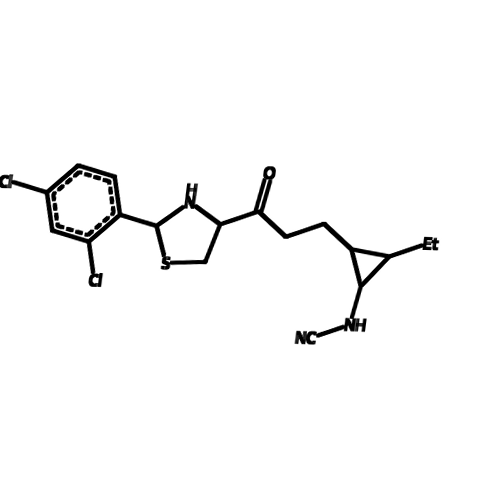 CCC1C(CCC(=O)C2CSC(c3ccc(Cl)cc3Cl)N2)C1NC#N